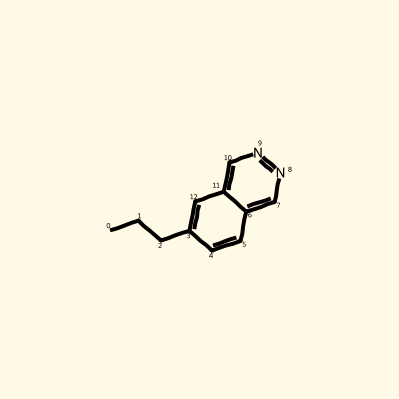 CCCc1ccc2cnncc2c1